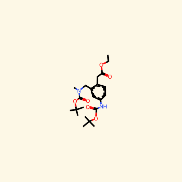 CCOC(=O)Cc1ccc(NC(=O)OC(C)(C)C)cc1CN(C)C(=O)OC(C)(C)C